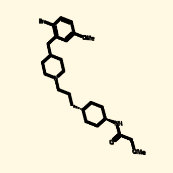 COCC(=O)N[C@H]1CC[C@H](CCCN2CCC(Cc3cc(OC)ccc3Br)CC2)CC1